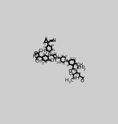 CNC(=O)C(CCC=O)N(C)C(=O)c1cc(N2CCC(N3CC(N(c4ccc(C5(C#N)CC5)cc4)c4cc(-c5c(C)noc5C)ccc4C)C3)CC2)ccc1C